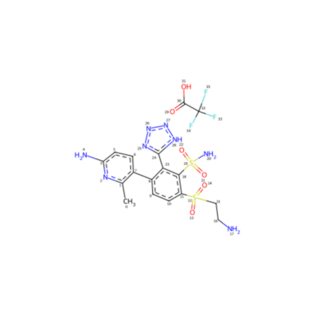 Cc1nc(N)ccc1-c1ccc(S(=O)(=O)CCN)c(S(N)(=O)=O)c1-c1nnn[nH]1.O=C(O)C(F)(F)F